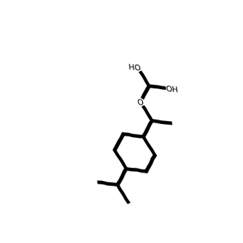 CC(C)C1CCC(C(C)OC(O)O)CC1